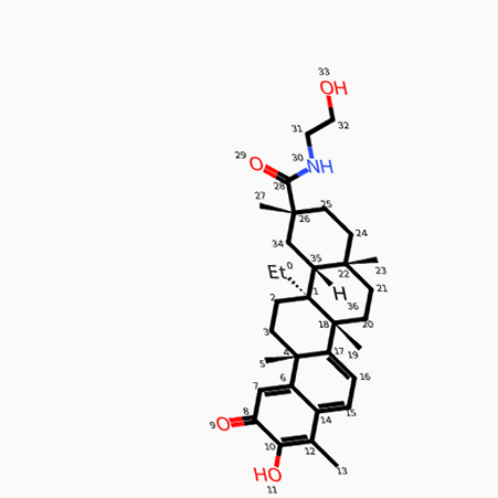 CC[C@@]12CC[C@@]3(C)C4=CC(=O)C(O)=C(C)C4=CC=C3[C@@]1(C)CC[C@@]1(C)CC[C@@](C)(C(=O)NCCO)C[C@H]12